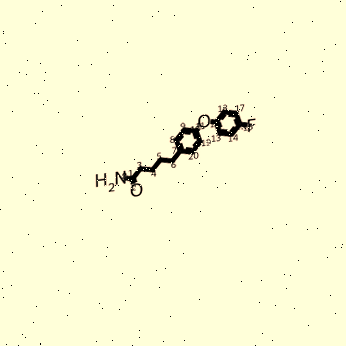 NC(=O)CCCCc1ccc(Oc2ccc(F)cc2)cc1